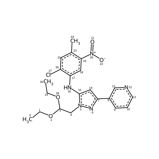 CCOC(Cn1nc(-c2cccnc2)cc1Nc1cc([N+](=O)[O-])c(C)cc1Cl)OCC